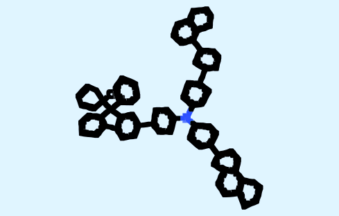 CC1(C2(c3ccccc3)c3ccccc3-c3ccc(-c4ccc(N(c5ccc(-c6cccc(-c7cccc8ccccc78)c6)cc5)c5ccc(-c6ccc7c(ccc8ccccc87)c6)cc5)cc4)cc32)C=CC=CC1